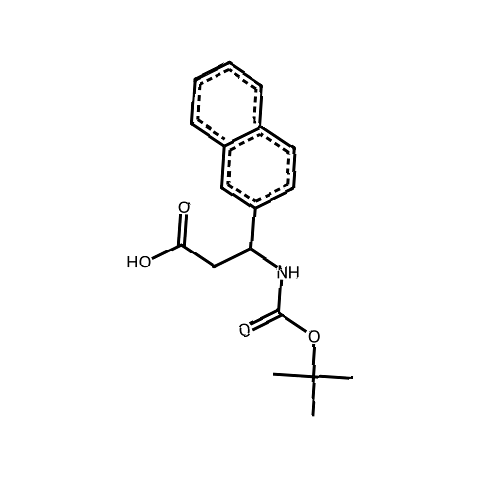 CC(C)(C)OC(=O)NC(CC(=O)O)c1ccc2ccccc2c1